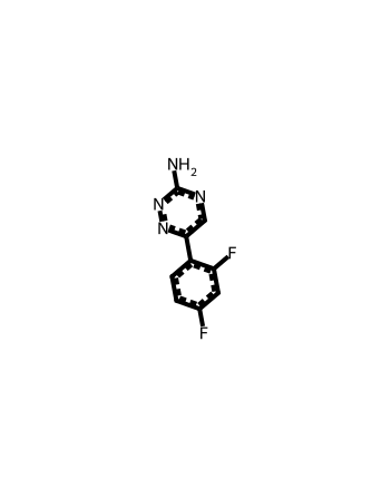 Nc1ncc(-c2ccc(F)cc2F)nn1